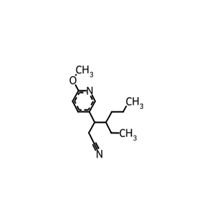 CCCC(CC)C(CC#N)c1ccc(OC)nc1